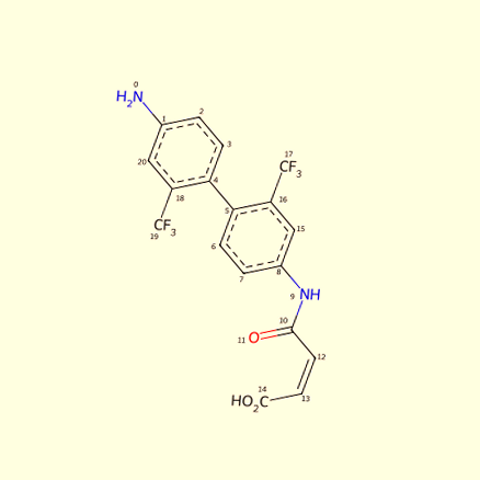 Nc1ccc(-c2ccc(NC(=O)/C=C\C(=O)O)cc2C(F)(F)F)c(C(F)(F)F)c1